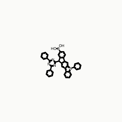 OB(O)c1ccc2c(c1)C(c1nc(-c3ccccc3)nc(-c3ccccc3)n1)c1cc3c4ccccc4n(-c4ccccc4)c3cc1-2